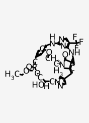 CCOCP1(=O)Cc2ccc(c(OC)c2)Nc2ncc(C(F)(F)F)c(n2)Nc2ccc(c3c2C(=O)N(C)C3)-c2cnn(c2)C[C@H](O)CO1